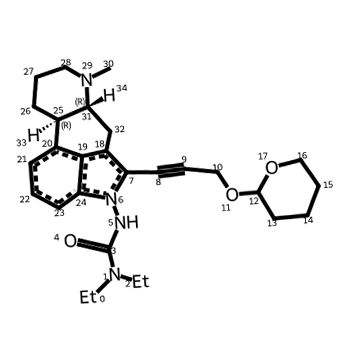 CCN(CC)C(=O)Nn1c(C#CCOC2CCCCO2)c2c3c(cccc31)[C@H]1CCCN(C)[C@@H]1C2